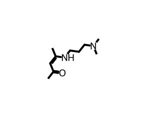 CC(=O)/C=C(/C)NCCCN(C)C